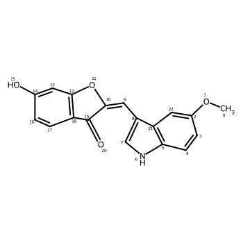 COc1ccc2[nH]cc(C=C3Oc4cc(O)ccc4C3=O)c2c1